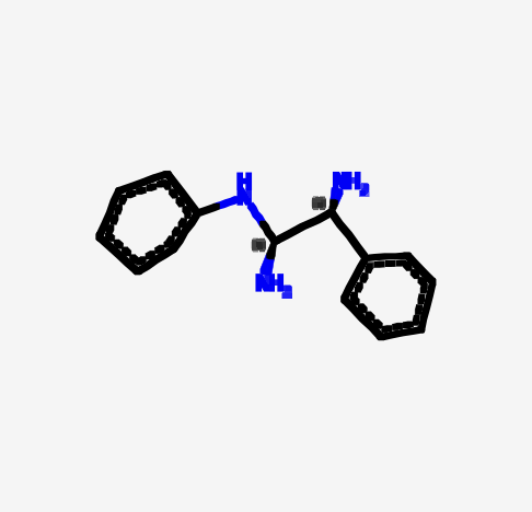 N[C@@H](Nc1ccccc1)[C@@H](N)c1ccccc1